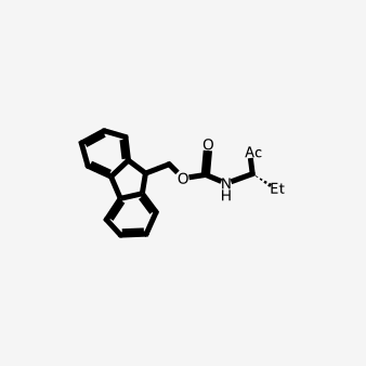 CC[C@H](NC(=O)OCC1c2ccccc2-c2ccccc21)C(C)=O